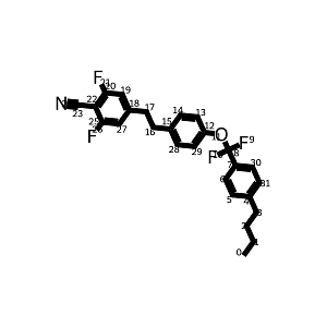 CCCCc1ccc(C(F)(F)Oc2ccc(CCc3cc(F)c(C#N)c(F)c3)cc2)cc1